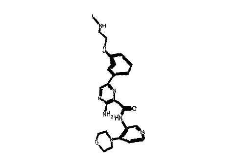 Nc1ncc(-c2cccc(OCCNI)c2)nc1C(=O)Nc1cnccc1N1CCOCC1